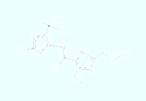 COCc1cc(C(=O)Nc2cc(C)nn2C(C)(C)C)n(C)n1